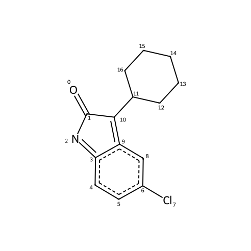 O=C1N=c2ccc(Cl)cc2=C1C1CCCCC1